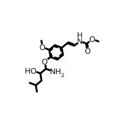 COC(=O)NC=Cc1ccc(OC(N)C(O)CC(C)C)c(OC)c1